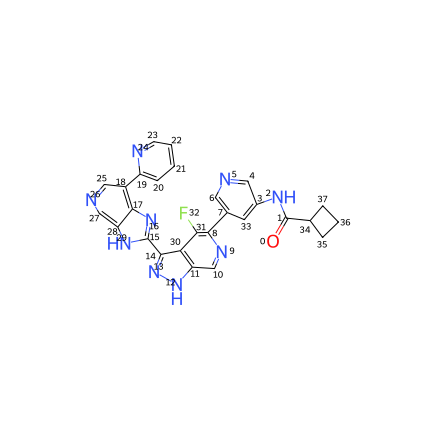 O=C(Nc1cncc(-c2ncc3[nH]nc(-c4nc5c(-c6ccccn6)cncc5[nH]4)c3c2F)c1)C1CCC1